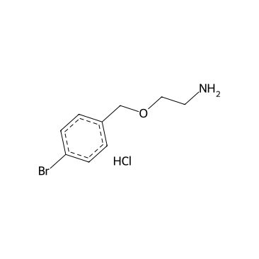 Cl.NCCOCc1ccc(Br)cc1